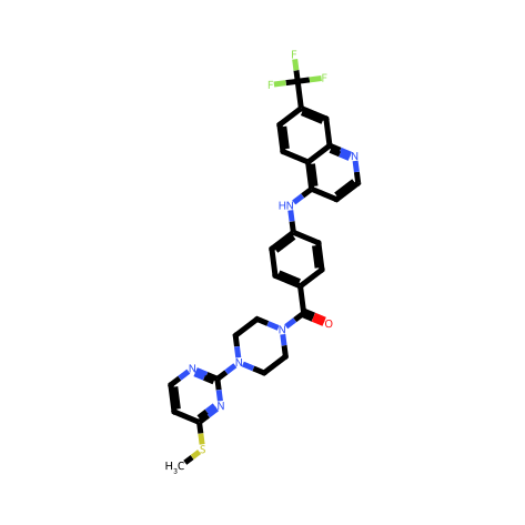 CSc1ccnc(N2CCN(C(=O)c3ccc(Nc4ccnc5cc(C(F)(F)F)ccc45)cc3)CC2)n1